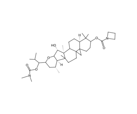 CC(C)C(OC(=O)N(C)C)C1C[C@@H](C)[C@H]2C(O1)[C@H](O)[C@@]1(C)C3CC[C@H]4C(C)(C)C(OC(=O)N5CCC5)CCC45CC35CCC21C